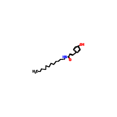 CCCCCCCCCCCCNC(=O)/C=C/c1ccc(O)cc1